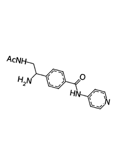 CC(=O)NCC(N)c1ccc(C(=O)Nc2ccncc2)cc1